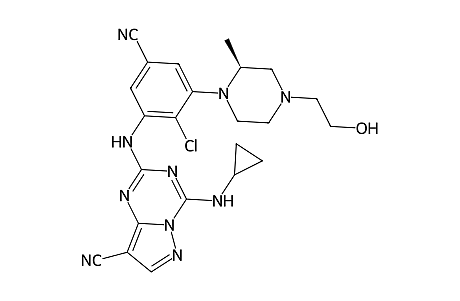 C[C@H]1CN(CCO)CCN1c1cc(C#N)cc(Nc2nc(NC3CC3)n3ncc(C#N)c3n2)c1Cl